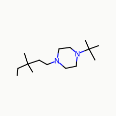 CCC(C)(C)CCN1CCN(C(C)(C)C)CC1